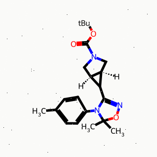 Cc1ccc(N2C(C3[C@H]4CN(C(=O)OC(C)(C)C)C[C@@H]34)=NOC2(C)C)cc1